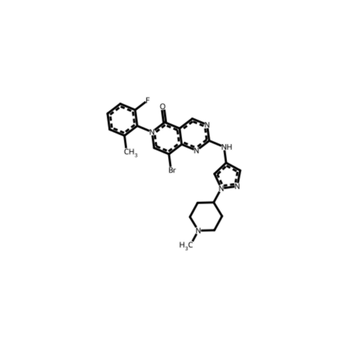 Cc1cccc(F)c1-n1cc(Br)c2nc(Nc3cnn(C4CCN(C)CC4)c3)ncc2c1=O